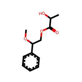 COC(COC(=O)C(C)O)c1ccccc1